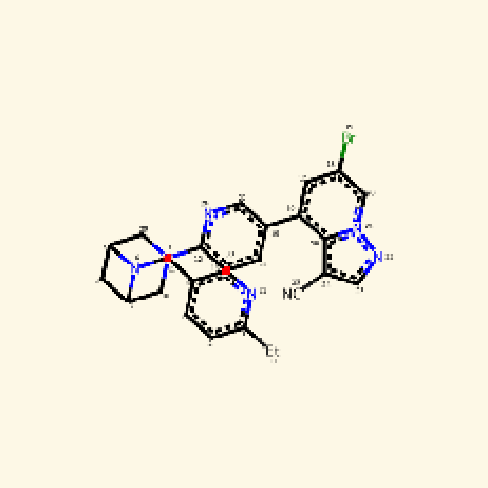 CCc1ccc(CN2C3CC2CN(c2ccc(-c4cc(Br)cn5ncc(C#N)c45)cn2)C3)cn1